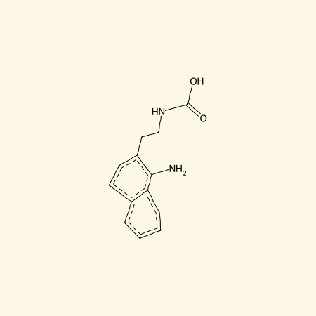 Nc1c(CCNC(=O)O)ccc2ccccc12